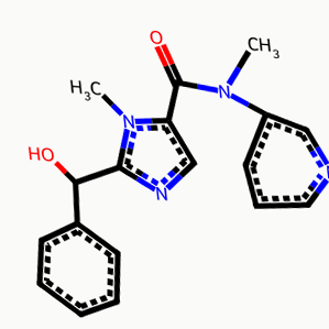 CN(C(=O)c1cnc(C(O)c2ccccc2)n1C)c1cccnc1